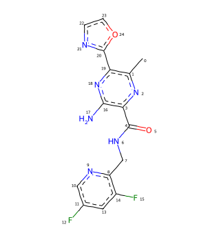 Cc1nc(C(=O)NCc2ncc(F)cc2F)c(N)nc1-c1ncco1